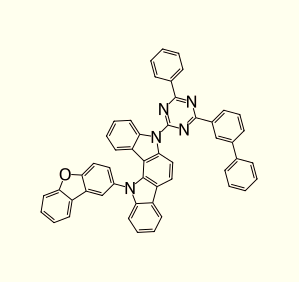 c1ccc(-c2cccc(-c3nc(-c4ccccc4)nc(-n4c5ccccc5c5c4ccc4c6ccccc6n(-c6ccc7oc8ccccc8c7c6)c45)n3)c2)cc1